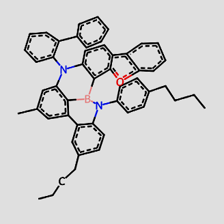 CCCCc1ccc(N2B3c4c(cc(C)cc4N(c4ccccc4-c4ccccc4)c4ccc5c(oc6ccccc65)c43)-c3cc(CCCC)ccc32)cc1